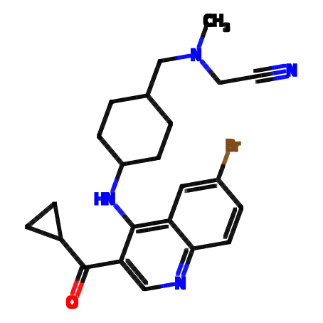 CN(CC#N)CC1CCC(Nc2c(C(=O)C3CC3)cnc3ccc(Br)cc23)CC1